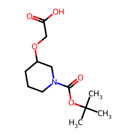 CC(C)(C)OC(=O)N1CCCC(OCC(=O)O)C1